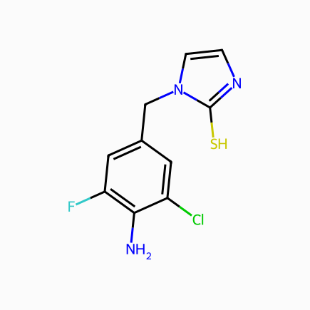 Nc1c(F)cc(Cn2ccnc2S)cc1Cl